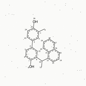 Cc1cc(-c2ccc(O)c(C(C)c3cccc4ccccc34)c2)ccc1O